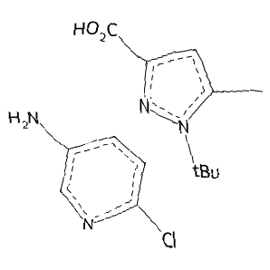 Cc1cc(C(=O)O)nn1C(C)(C)C.Nc1ccc(Cl)nc1